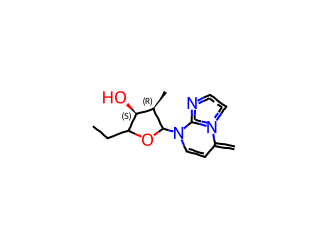 C=C1C=CN(C2OC(CC)[C@@H](O)[C@H]2C)c2nccn21